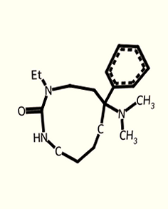 CCN1CCC(c2ccccc2)(N(C)C)CCCCNC1=O